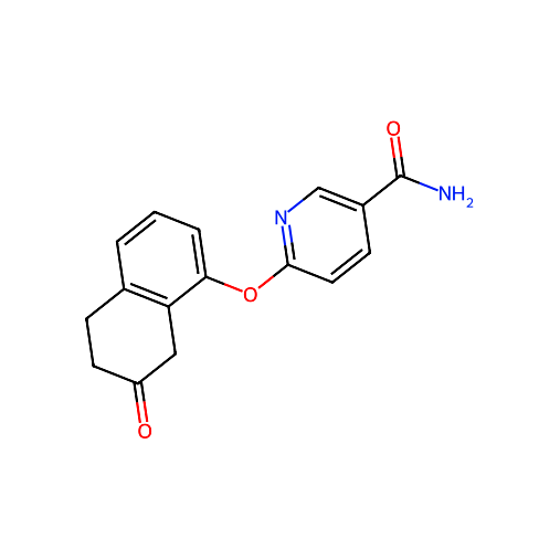 NC(=O)c1ccc(Oc2cccc3c2CC(=O)CC3)nc1